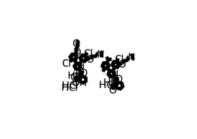 COCCOc1ccc(Cl)c(-c2ccc(C(=O)NC3(C(=O)O)CCCCC3)nc2-c2ccc(Cl)c(OCCCN(C)C)c2)c1.Cc1ccc(C(C)C)cc1-c1ccc(C(=O)NC2(C(=O)O)CCCCC2)nc1-c1ccc(Cl)c(OCCCN(C)C)c1.Cl.Cl